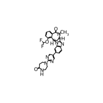 CN1C(=O)c2cccc(OC(F)F)c2[C@H]2C[C@@H]1c1nc3ccc(-c4cnc(N5CCNC(=O)CC5)nc4)cc3n12